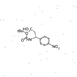 CC(C)(C)OC(=O)NC(CC(=O)O)c1ccc([N+](=O)[O-])cc1